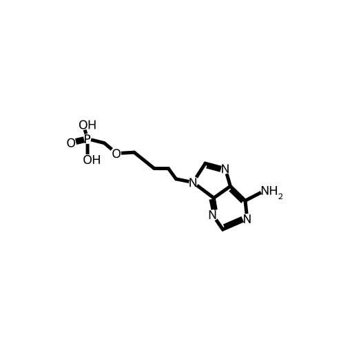 Nc1ncnc2c1ncn2CCCCOCP(=O)(O)O